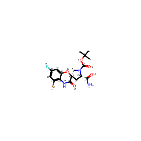 CC(C)(C)OC(=O)N1C[C@@]2(C[C@H]1C(N)=O)Oc1cc(F)cc(Br)c1NC2=O